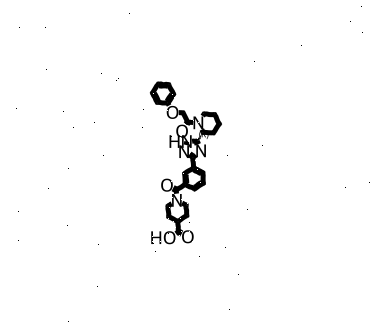 O=C(O)C1CCN(C(=O)c2cccc(-c3n[nH]c([C@H]4CCCCN4C(=O)COc4ccccc4)n3)c2)CC1